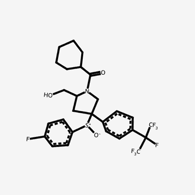 O=C(C1CCCCC1)N1CC(c2ccc(C(F)(C(F)(F)F)C(F)(F)F)cc2)([S+]([O-])c2ccc(F)cc2)CC1CO